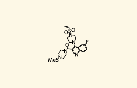 C=CS(=O)(=O)N1CCN(c2c(C(=O)N3CCN(SC)CC3)cnc3ccc(F)cc23)CC1